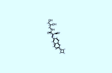 N#C/C(=C\c1ccc2cc(N3CCC3)ccc2c1)C(=O)NCC(O)CO